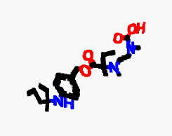 CCCC(C)(CC)Nc1ccc(COC(=O)C(C)(CC)N(C)CCN(C)C(=O)O)cc1